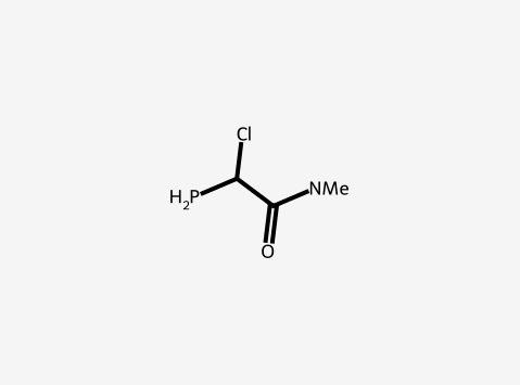 CNC(=O)C(P)Cl